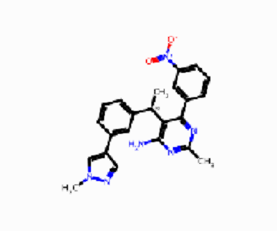 Cc1nc(N)c([C@H](C)c2cccc(-c3cnn(C)c3)c2)c(-c2cccc([N+](=O)[O-])c2)n1